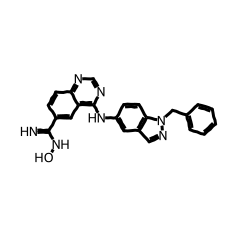 N=C(NO)c1ccc2ncnc(Nc3ccc4c(cnn4Cc4ccccc4)c3)c2c1